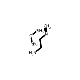 C=NCCN.CC(C)(C)O[SiH3]